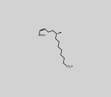 CCCCC/C=C\CC[C@@H](C)CCCCCCCC(=O)O